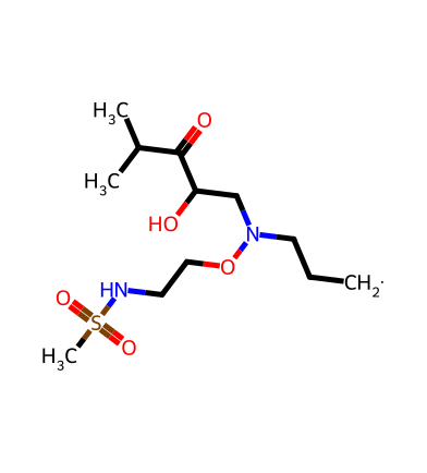 [CH2]CCN(CC(O)C(=O)C(C)C)OCCNS(C)(=O)=O